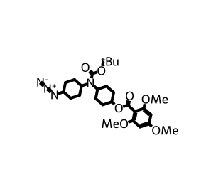 COc1cc(OC)c(C(=O)OC2CCC(N(C(=O)OC(C)(C)C)C3CCC(N=[N+]=[N-])CC3)CC2)c(OC)c1